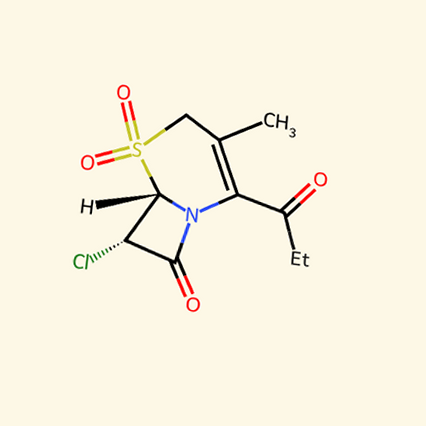 CCC(=O)C1=C(C)CS(=O)(=O)[C@H]2[C@@H](Cl)C(=O)N12